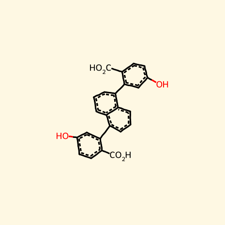 O=C(O)c1ccc(O)cc1-c1cccc2c(-c3cc(O)ccc3C(=O)O)cccc12